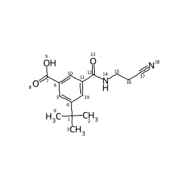 CC(C)(C)c1cc(C(=O)O)cc(C(=O)NCCC#N)c1